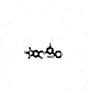 COC1(c2cc(F)cc(OCc3cc4c(cc3Br)n(C)c(=O)n4C)c2)CCOCC1